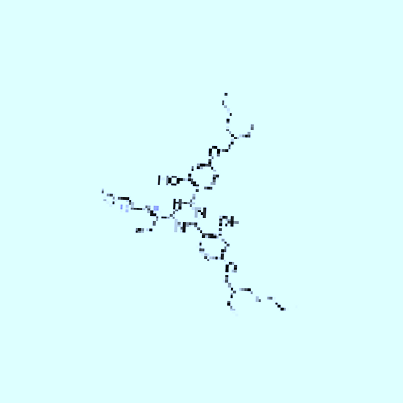 C=C/C(=C\C=C\OC)c1nc(-c2ccc(OCC(CC)CCCC)cc2O)nc(-c2ccc(OCC(CC)CCCCC)cc2O)n1